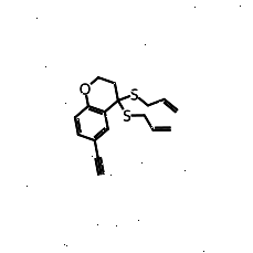 C#Cc1ccc2c(c1)C(SCC=C)(SCC=C)CCO2